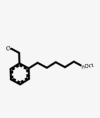 CCCCCCCCCCCCCc1ccccc1CCl